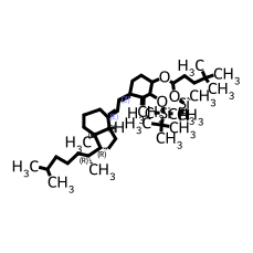 C=C1/C(=C\C=C2/CCC[C@]3(C)[C@@H]([C@H](C)CCCC(C)C)CC[C@@H]23)CCC(OC(CCC(C)(C)C)O[SiH](C)C)C1O[Si](C)(C)C(C)(C)C